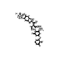 Cc1cc(Oc2cccc(F)c2F)cc(F)c1-n1ncc(C(=O)c2cc3cc(NS(C)(=O)=O)c(F)cc3[nH]2)c1N